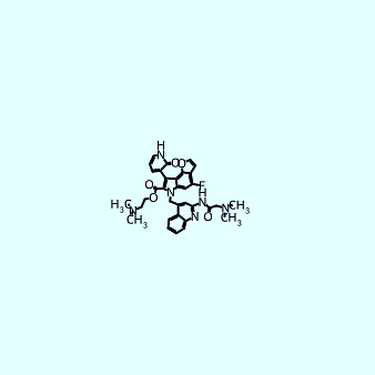 CN(C)CCOC(=O)c1c(-c2ccc[nH]c2=O)c2c3occc3c(F)cc2n1Cc1cc(NC(=O)CN(C)C)nc2ccccc12